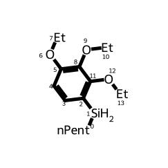 CCCCC[SiH2]c1ccc(OCC)c(OCC)c1OCC